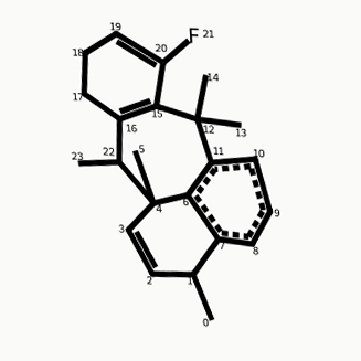 CC1C=CC2(C)c3c1cccc3C(C)(C)C1=C(CCC=C1F)C2C